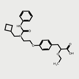 CCOC(Cc1ccc(OCCN(CC2CCC2)C(=O)Nc2ccccc2)cc1)C(=O)O